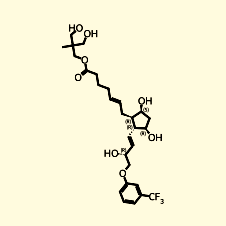 CC(CO)(CO)COC(=O)CCCC=CC[C@@H]1[C@@H](C=C[C@@H](O)COc2cccc(C(F)(F)F)c2)[C@H](O)C[C@@H]1O